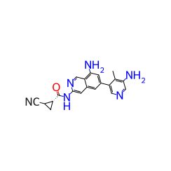 Cc1c(N)cncc1-c1cc(N)c2cnc(NC(=O)[C@@H]3CC3C#N)cc2c1